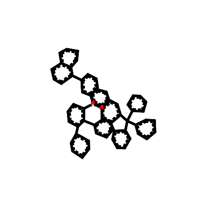 c1ccc(-c2ccccc2-c2c(-c3ccccc3)cccc2N(c2cccc(-c3cccc4ccccc34)c2)c2ccc3c(c2)-c2ccccc2C3(c2ccccc2)c2ccccc2)cc1